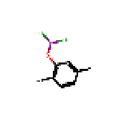 Cc1ccc(C(C)C)c(OP(Cl)Cl)c1